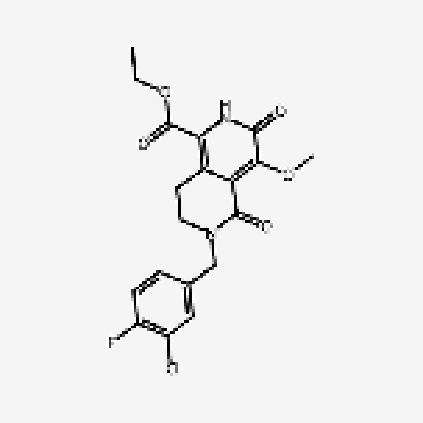 CCOC(=O)c1[nH]c(=O)c(OC)c2c1CCN(Cc1ccc(F)c(Cl)c1)C2=O